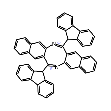 c1ccc2c(c1)-c1ccccc1C2/C1=N/c2cc3ccccc3cc2/C(C2c3ccccc3-c3ccccc32)=N\c2cc3ccccc3cc21